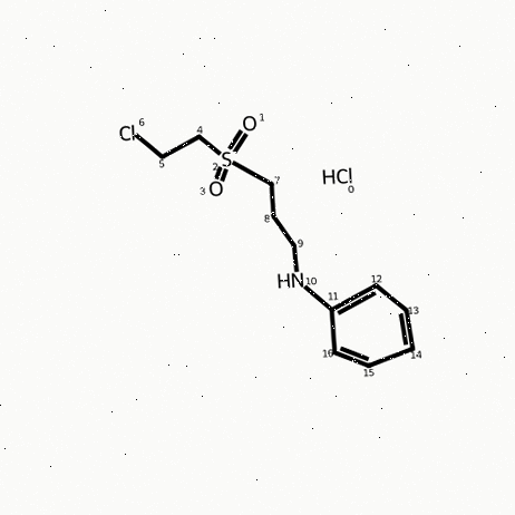 Cl.O=S(=O)(CCCl)CCCNc1ccccc1